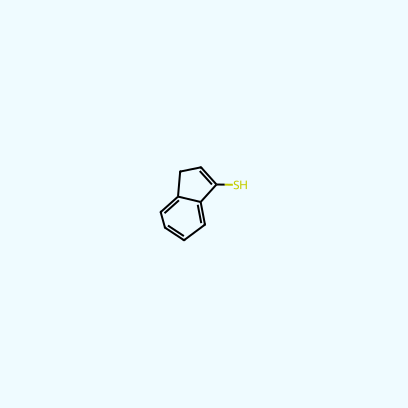 SC1=CCc2ccccc21